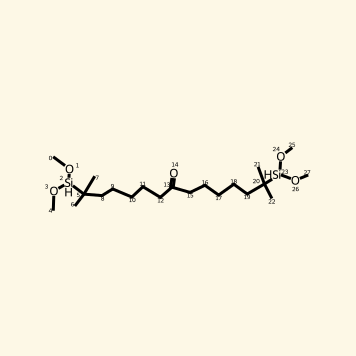 CO[SiH](OC)C(C)(C)CCCCCC(=O)CCCCCC(C)(C)[SiH](OC)OC